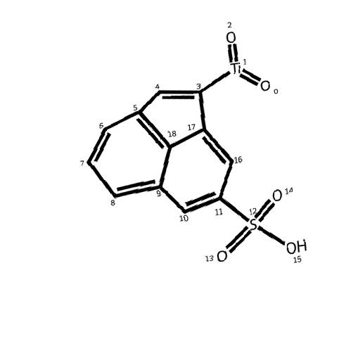 [O]=[Ti](=[O])[C]1=Cc2cccc3cc(S(=O)(=O)O)cc1c23